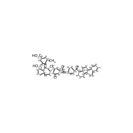 C1=CNc2ccccc2N=C1.Cc1cc(C(=O)O)cc(C(=O)O)c1.O=C(Nc1ccc(C(=O)C2=c3ccc4c(c3CCC2)CC=c2ccccc2=4)cc1)c1cc(Cl)cc(Cl)c1